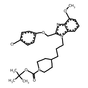 COc1cccc2c1nc(COc1ccc(Cl)cc1)n2CCCC1CCN(C(=O)OC(C)(C)C)CC1